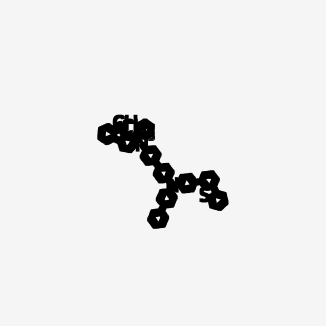 CC1(C)c2ccccc2-c2ccc3c(c21)c1ccccc1n3-c1ccc(-c2ccc(N(c3ccc(-c4ccccc4)cc3)c3ccc(-c4cccc5c4sc4ccccc45)cc3)cc2)cc1